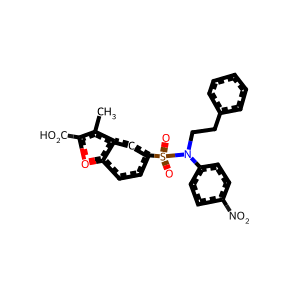 Cc1c(C(=O)O)oc2ccc(S(=O)(=O)N(CCc3ccccc3)c3ccc([N+](=O)[O-])cc3)cc12